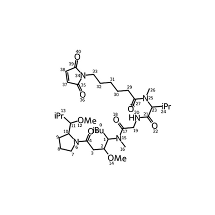 CCC(C)C(C(CC(=O)N1CCCC1C(OC)C(C)C)OC)N(C)C(=O)CNC(=O)C(C(C)C)N(C)C(=O)CCCCCN1C(=O)C=CC1=O